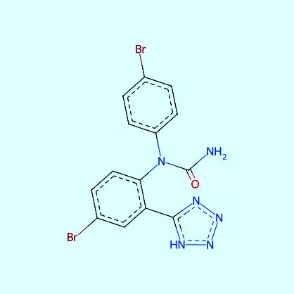 NC(=O)N(c1ccc(Br)cc1)c1ccc(Br)cc1-c1nnn[nH]1